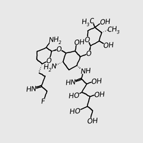 C[C@@H]1C(O)[C@@H](OC2C(O)C(O[C@H]3O[C@H](CCC(=N)CF)CCC3N)[C@@H](N)C[C@H]2NC(=N)C(O)C(O)C(O)C(O)CO)OCC1(C)O